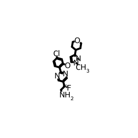 Cn1nc(C2CCOCC2)cc1Oc1cc(Cl)ccc1-c1ncc([C@@H](F)CN)cn1